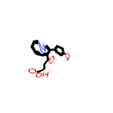 COc1ccc(-c2cn3ccccc3c2C(=O)CCC(=O)O)cc1